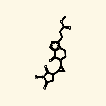 COC(=O)CCc1ccc2n1CCN(C1CC1C1CC(=O)N(Br)C1=O)C2=O